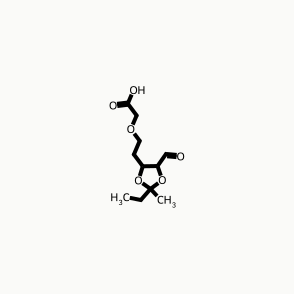 CCC1(C)OC(C=O)C(CCOCC(=O)O)O1